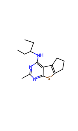 CCC(CC)Nc1nc(C)nc2sc3c(c12)CCC3